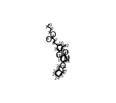 CCCCOC(=O)/C=C/c1cc(C)c(Oc2ccc(OCc3ccccc3F)cn2)c(Cl)c1